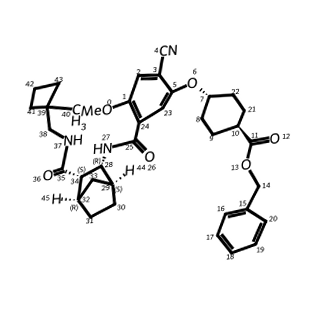 COc1cc(C#N)c(O[C@H]2CC[C@H](C(=O)OCc3ccccc3)CC2)cc1C(=O)N[C@@H]1[C@H]2CC[C@H](C2)[C@@H]1C(=O)NCC1(C)CCC1